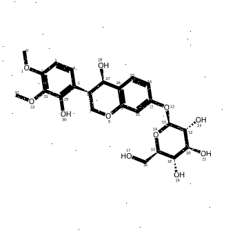 COc1ccc([C@@H]2COc3cc(O[C@@H]4O[C@H](CO)[C@@H](O)[C@H](O)[C@H]4O)ccc3[C@@H]2O)c(O)c1OC